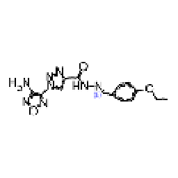 CCOc1ccc(/C=N/NC(=O)c2cn(-c3nonc3N)nn2)cc1